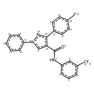 O=C(Nc1cccc(C(F)(F)F)c1)c1cn(-c2ccccc2)nc1-c1ccc(F)cc1